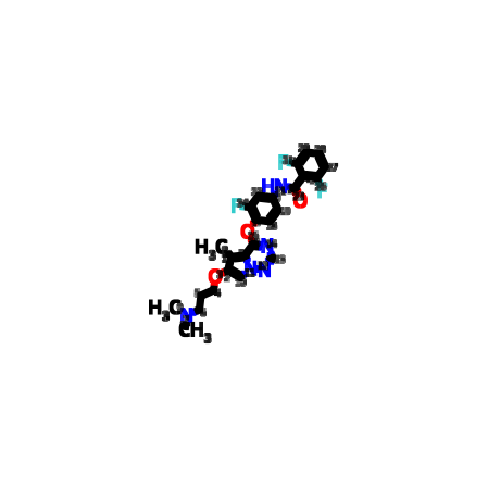 Cc1c(OCCCN(C)C)cn2ncnc(Oc3ccc(NC(=O)c4c(F)cccc4F)cc3F)c12